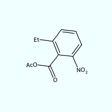 CCc1cccc([N+](=O)[O-])c1C(=O)OC(C)=O